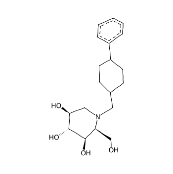 OC[C@H]1[C@@H](O)[C@H](O)[C@@H](O)CN1CC1CCC(c2ccccc2)CC1